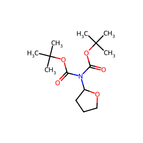 CC(C)(C)OC(=O)N(C(=O)OC(C)(C)C)C1CCCO1